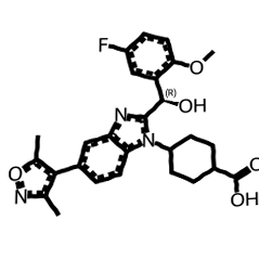 COc1ccc(F)cc1[C@@H](O)c1nc2cc(-c3c(C)noc3C)ccc2n1C1CCC(C(=O)O)CC1